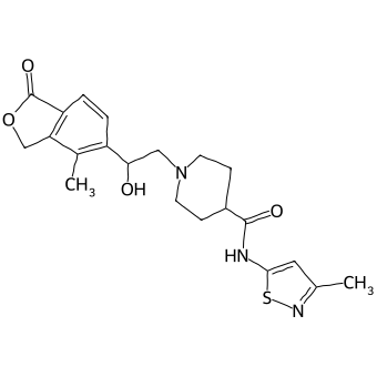 Cc1cc(NC(=O)C2CCN(CC(O)c3ccc4c(c3C)COC4=O)CC2)sn1